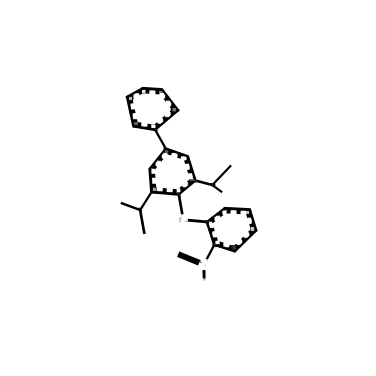 CC(C)c1cc(-c2ccccc2)cc(C(C)C)c1Nc1ccccc1[N+](=O)[O-]